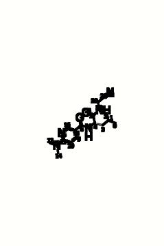 CC(C)C[C@H](NC(=O)c1ccc(N(C)C)nc1)C(=O)NCC#N